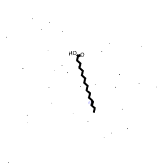 CC/C=C/CCCCCCCCCCCC(=O)O